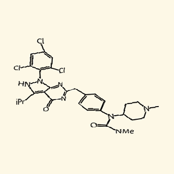 CNC(=O)N(c1ccc(Cc2nc3n(-c4c(Cl)cc(Cl)cc4Cl)[nH]c(C(C)C)c-3c(=O)n2)cc1)C1CCN(C)CC1